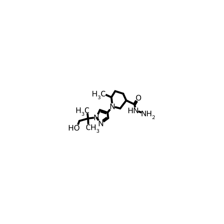 CC1CCC(C(=O)NN)CN1c1cnn(C(C)(C)CO)c1